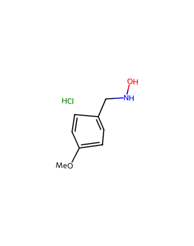 COc1ccc(CNO)cc1.Cl